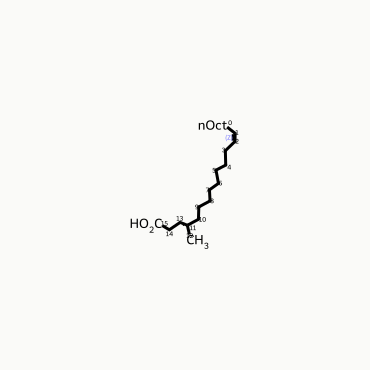 CCCCCCCC/C=C\CCCCCCCC[C](C)CCC(=O)O